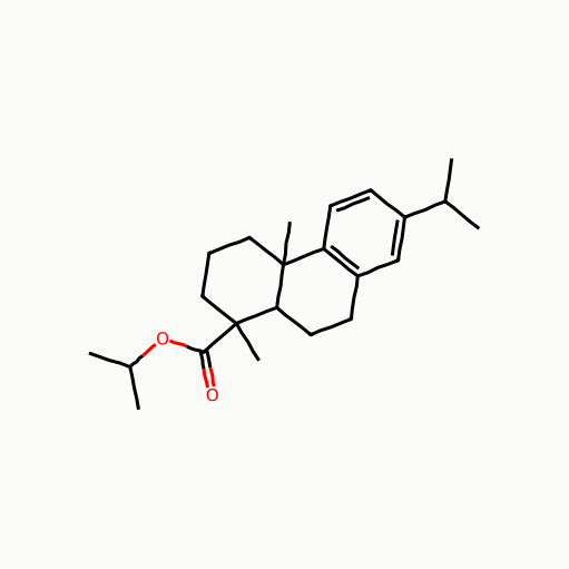 CC(C)OC(=O)C1(C)CCCC2(C)c3ccc(C(C)C)cc3CCC12